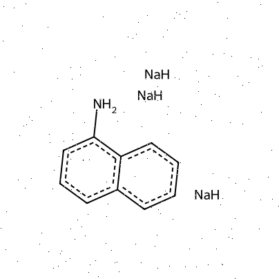 Nc1cccc2ccccc12.[NaH].[NaH].[NaH]